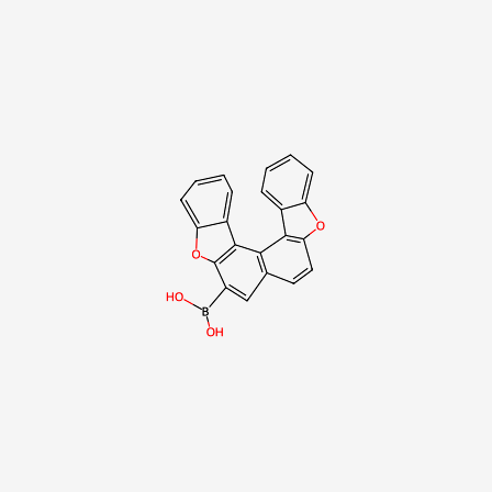 OB(O)c1cc2ccc3oc4ccccc4c3c2c2c1oc1ccccc12